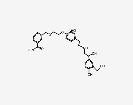 Cl.NC(=O)c1cccc(COCCOc2ccc(CCNC[C@@H](O)c3ccc(O)c(CO)c3)cc2)c1